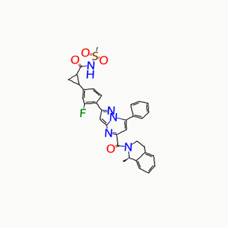 C[C@@H]1c2ccccc2CCN1C(=O)c1cc(-c2ccccc2)n2nc(-c3ccc(C4CC4C(=O)NS(C)(=O)=O)cc3F)cc2n1